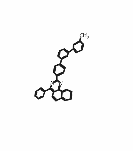 Cc1cccc(-c2cccc(-c3ccc(-c4nc(-c5ccccc5)c5ccc6ccccc6c5n4)cc3)c2)c1